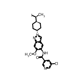 COc1cc2nn([C@H]3CC[C@H]([C@H](C)I)CC3)cc2cc1NC(=O)c1cncc(Cl)c1